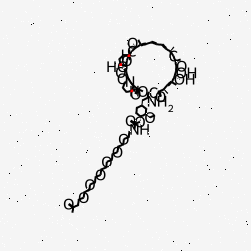 CO[C@H]1C[C@@H]2CC[C@@H](C)[C@@](O)(O2)C(=O)C(=O)N2CCCC[C@H]2C(=O)O[C@H]([C@H](N)C[C@@H]2CC[C@@H](OC(=O)NCCOCCOCCOCCOCCOCCOCCC(C)=O)[C@H](OC)C2)CC(=O)[C@H](C)/C=C(\C)[C@@H](O)[C@@H](O)C(=O)C(C)C[C@H](C)/C=C/C=C/C=C/1C